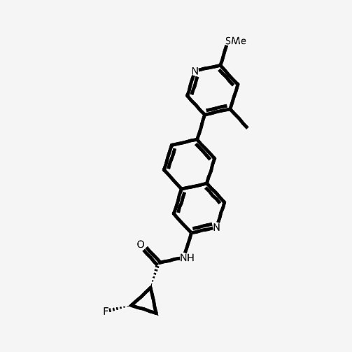 CSc1cc(C)c(-c2ccc3cc(NC(=O)[C@@H]4C[C@@H]4F)ncc3c2)cn1